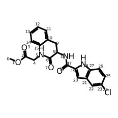 COC(=O)CNC(=O)C(Cc1ccccc1)NC(=O)c1cc2cc(Cl)ccc2[nH]1